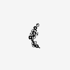 COc1cccc(CN2C(=O)c3nc4cccc(OCCOS(=O)(=O)c5ccc(C)cc5)c4c(=O)n3C2N(C)C)c1